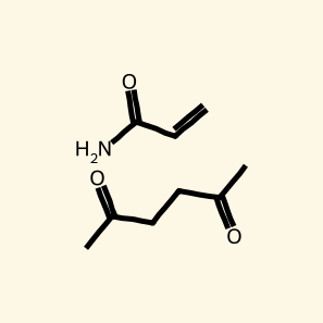 C=CC(N)=O.CC(=O)CCC(C)=O